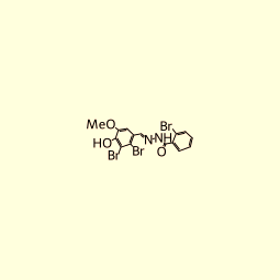 COc1cc(C=NNC(=O)c2ccccc2Br)c(Br)c(Br)c1O